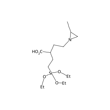 CCO[Si](CCC(CCN1CC1C)C(=O)O)(OCC)OCC